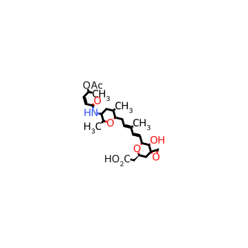 CC(=O)OC(C)/C=C\C(=O)NC1CC(C)C(C/C=C(C)/C=C/C2O[C@H](CC(=O)O)CC3(CO3)[C@@H]2O)OC1C